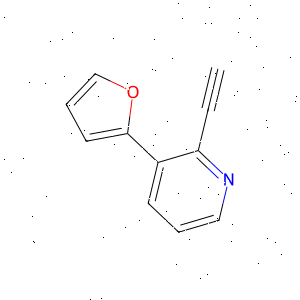 C#Cc1ncccc1-c1ccco1